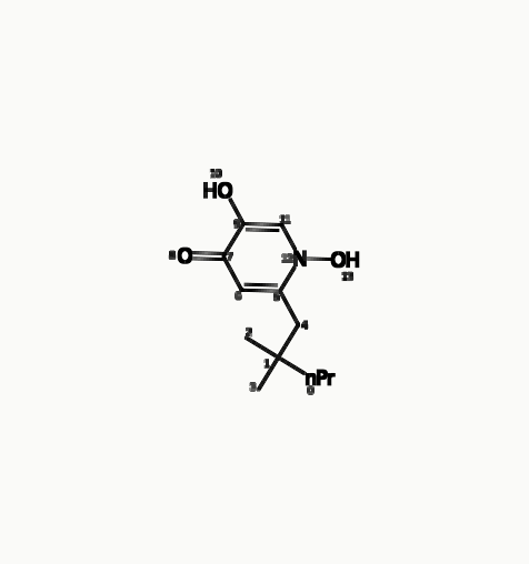 CCCC(C)(C)Cc1cc(=O)c(O)cn1O